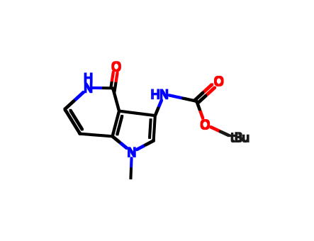 Cn1cc(NC(=O)OC(C)(C)C)c2c(=O)[nH]ccc21